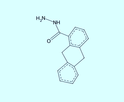 NNC(=O)c1cccc2c1Cc1ccccc1C2